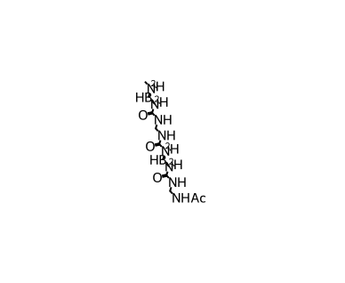 [2H]N(C)BN([2H])C(=O)NCNC(=O)N([2H])BN([2H])C(=O)NCNC(C)=O